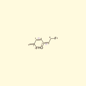 C=C(F)/C=C\C(O)=C/CF